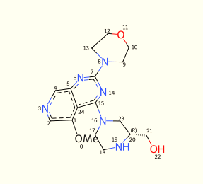 COc1cncc2nc(N3CCOCC3)nc(N3CCN[C@@H](CO)C3)c12